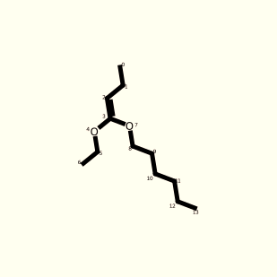 CCC=C(OCC)OCCCCCC